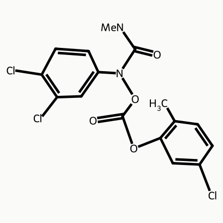 CNC(=O)N(OC(=O)Oc1cc(Cl)ccc1C)c1ccc(Cl)c(Cl)c1